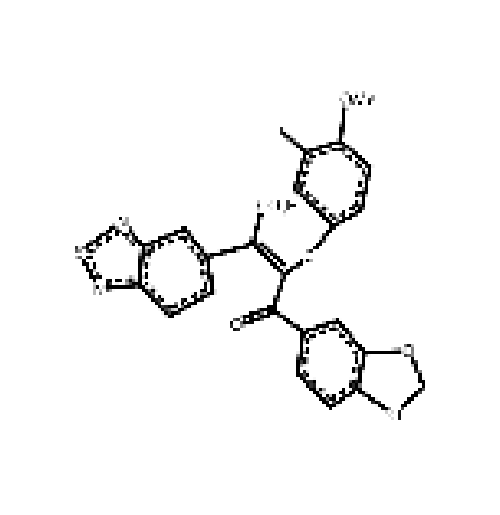 COc1ccc(C/C(C(=O)c2ccc3c(c2)OCO3)=C(\C(=O)O)c2ccc3nsnc3c2)cc1C